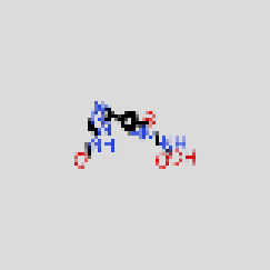 COCCNc1ccn2ncc(-c3ccc(C(=O)NCCNC(=O)O)cc3)c2n1